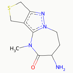 CN1C(=O)C(N)CCn2nc3c(c21)CSC3